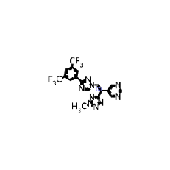 Cn1nnc(/C(=C\n2cnc(-c3cc(C(F)(F)F)cc(C(F)(F)F)c3)n2)c2cncnc2)n1